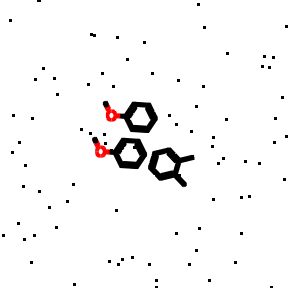 COc1ccccc1.COc1ccccc1.Cc1ccccc1C